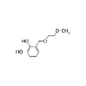 COCCOCc1cccc(O)c1O